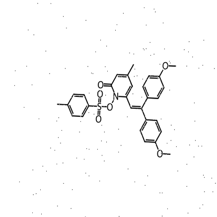 COc1ccc(C(=Cc2cc(C)cc(=O)n2OS(=O)(=O)c2ccc(C)cc2)c2ccc(OC)cc2)cc1